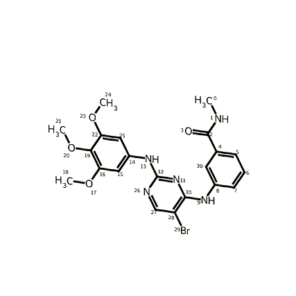 CNC(=O)c1cccc(Nc2nc(Nc3cc(OC)c(OC)c(OC)c3)ncc2Br)c1